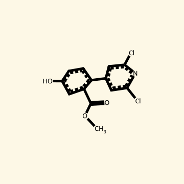 COC(=O)c1cc(O)ccc1-c1cc(Cl)nc(Cl)c1